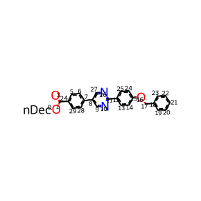 CCCCCCCCCCOC(=O)c1ccc(-c2cnc(-c3ccc(OCc4ccccc4)cc3)nc2)cc1